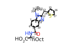 CCCCCCCC[C@H](NC(=O)c1ccc2c(c1)nc(Cc1cccs1)n2CC(C)CC)C(=O)O